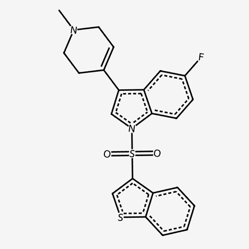 CN1CC=C(c2cn(S(=O)(=O)c3csc4ccccc34)c3ccc(F)cc23)CC1